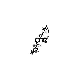 CNCC(CCC(C)(C)C)NC(=O)N1CCCC(C(OCCNC(=O)OC)c2cccc(F)c2)C1